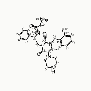 Cc1c(N2CCNCC2)c(=O)n(C[C@H](NC(=O)OC(C)(C)C)c2ccccc2)c(=O)n1Cc1ccccc1F